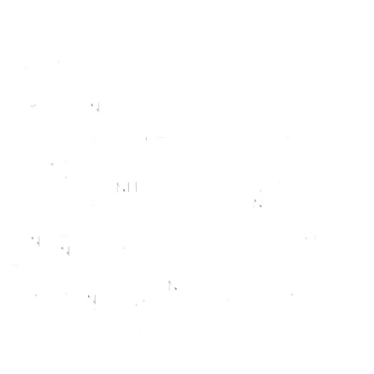 C[C@H](NC(=O)c1cc(C(=O)NCc2ccc3c(c2)NC(=O)CO3)nc2ccnn12)C(=O)NC1CCC1